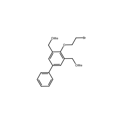 COCc1cc(-c2ccccc2)cc(COC)c1OCCBr